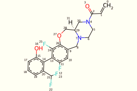 C=CC(=O)N1CCN2Cc3cc(F)c(-c4c(O)cccc4C(F)F)c(F)c3OC[C@H]2C1